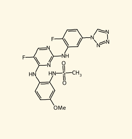 COc1ccc(Nc2nc(Nc3cc(-n4cnnn4)ccc3F)ncc2F)c(NS(C)(=O)=O)c1